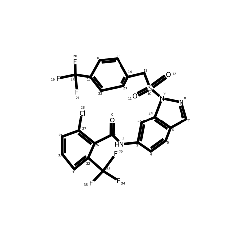 O=C(Nc1ccc2cnn(S(=O)(=O)Cc3ccc(C(F)(F)F)cc3)c2c1)c1c(Cl)cccc1C(F)(F)F